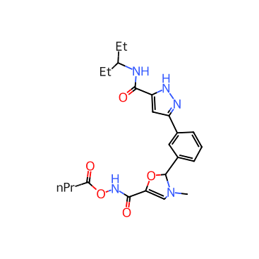 CCCC(=O)ONC(=O)C1=CN(C)C(c2cccc(-c3cc(C(=O)NC(CC)CC)[nH]n3)c2)O1